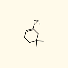 CC1(C)CCC=C(C(F)(F)F)C1